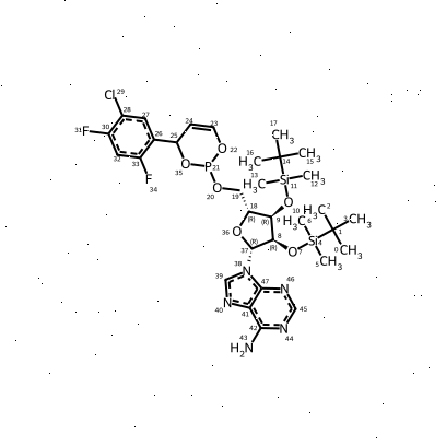 CC(C)(C)[Si](C)(C)O[C@@H]1[C@H](O[Si](C)(C)C(C)(C)C)[C@@H](COP2OC=CC(c3cc(Cl)c(F)cc3F)O2)O[C@H]1n1cnc2c(N)ncnc21